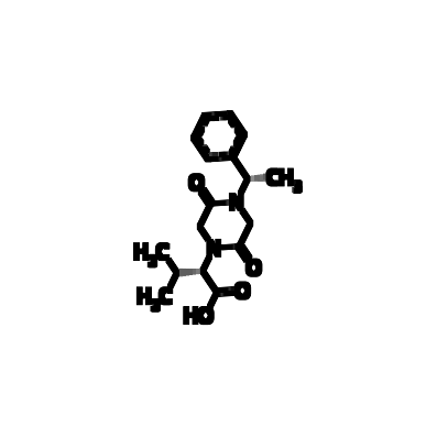 CC(C)[C@@H](C(=O)O)N1CC(=O)N([C@@H](C)c2ccccc2)CC1=O